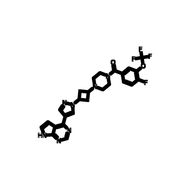 O=C(c1ccc(F)c(OC(F)(F)F)c1)N1CCN(C2CC(n3cc(-c4ncnc5[nH]ccc45)cn3)C2)CC1